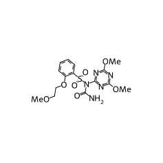 COCCOc1ccccc1S(=O)(=O)N(C(N)=O)c1nc(OC)nc(OC)n1